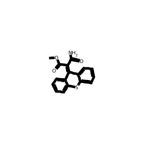 COC(=O)C(C(N)=O)=C1c2ccccc2Sc2ccccc21